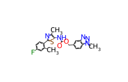 Cc1cc(F)ccc1-c1nc(C)c(NC(=O)OCc2ccc3c(c2)nnn3C)s1